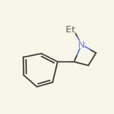 [CH2]CN1CCC1c1ccccc1